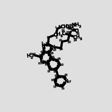 CCOCc1nc2c(N)nc3cc(-c4cccnc4)ccc3c2n1CCCC(C)(C)S(N)(=O)=O